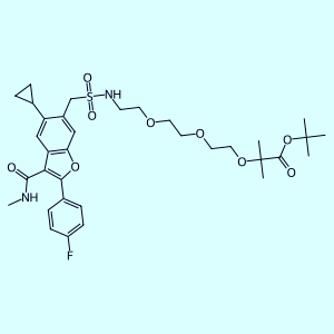 CNC(=O)c1c(-c2ccc(F)cc2)oc2cc(CS(=O)(=O)NCCOCCOCCOC(C)(C)C(=O)OC(C)(C)C)c(C3CC3)cc12